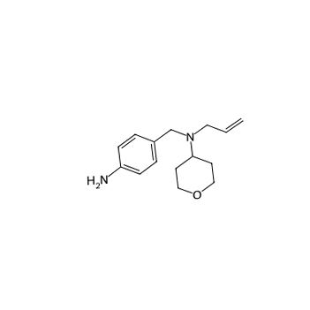 C=CCN(Cc1ccc(N)cc1)C1CCOCC1